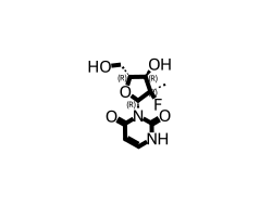 C[C@@]1(F)[C@H](O)[C@@H](CO)O[C@H]1n1c(=O)cc[nH]c1=O